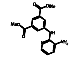 COC(=O)c1cc(Nc2ncccc2N)cc(C(=O)OC)c1